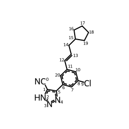 N#Cc1[nH]nnc1-c1cc(Cl)cc(/C=C/CC2CCCC2)c1